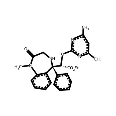 CCOC(=O)[C@@H](Oc1nc(C)cc(C)n1)[C@@]1(c2ccccc2)NCC(=O)N(C)c2ccccc21